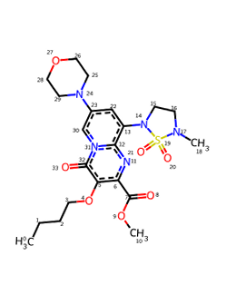 CCCCOc1c(C(=O)OC)nc2c(N3CCN(C)S3(=O)=O)cc(N3CCOCC3)cn2c1=O